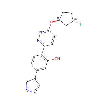 Oc1cc(-n2ccnc2)ccc1-c1ccc(O[C@H]2CC[C@H](F)C2)nn1